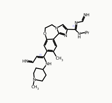 Cc1cc2c(cc1/C(=C/C=N)NC1CCN(C)CC1)OCCn1cc(/C(=N/C=N)NC(C)C)nc1-2